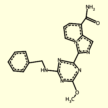 COc1nc(NCc2ccccc2)nc(-c2ncc3c(C(N)=O)cccn23)n1